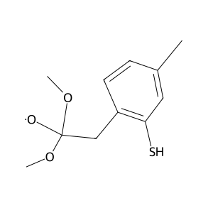 COC([O])(Cc1ccc(C)cc1S)OC